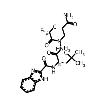 CC(C)(C)C[C@H](NC(=O)c1nc2ccccc2[nH]1)C(=O)NN(CCC(N)=O)C(=O)[C@H](F)Cl